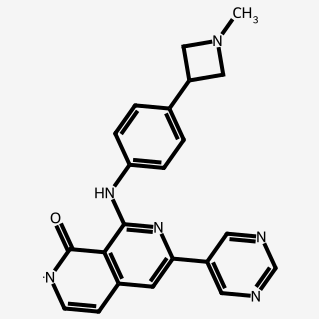 CN1CC(c2ccc(Nc3nc(-c4cncnc4)cc4c3C(=O)[N]C=C4)cc2)C1